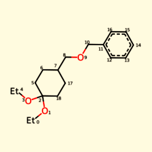 CCOC1(OCC)CCC(COCc2ccccc2)CC1